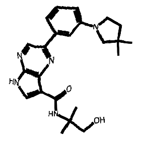 CC1(C)CCN(c2cccc(-c3cnc4[nH]cc(C(=O)NC(C)(C)CO)c4n3)c2)C1